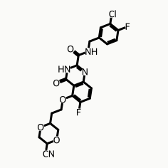 N#CC1COC(CCOc2c(F)ccc3nc(C(=O)NCc4ccc(F)c(Cl)c4)[nH]c(=O)c23)CO1